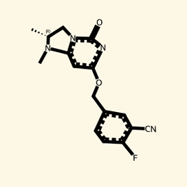 C[C@@H]1Cn2c(cc(OCc3ccc(F)c(C#N)c3)nc2=O)N1C